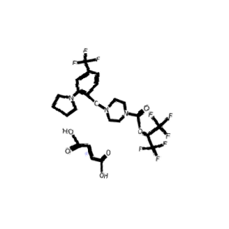 O=C(O)/C=C/C(=O)O.O=C(OC(C(F)(F)F)C(F)(F)F)N1CCN(Cc2ccc(C(F)(F)F)cc2N2CCCC2)CC1